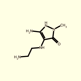 Cn1[nH]c(N)c(NCCN)c1=O